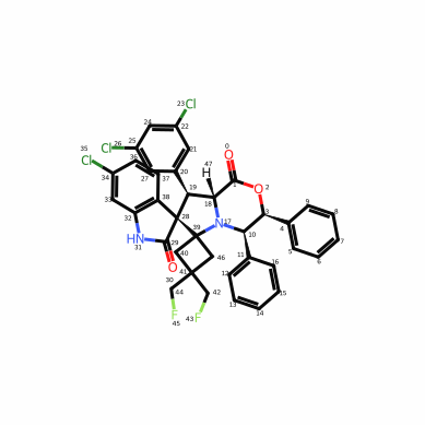 O=C1O[C@@H](c2ccccc2)[C@@H](c2ccccc2)N2[C@@H]1[C@H](c1cc(Cl)cc(Cl)c1)[C@@]1(C(=O)Nc3cc(Cl)ccc31)C21CC(CF)(CF)C1